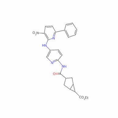 CCOC(=O)C1C2CC(C(=O)Nc3ccc(Nc4nc(-c5ccccc5)ccc4[N+](=O)[O-])cn3)CC21